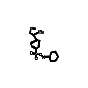 CC(C)(C)CC(c1ccc(S(=O)(=O)ON=C2CCCCC2)cc1)C(C)(C)C